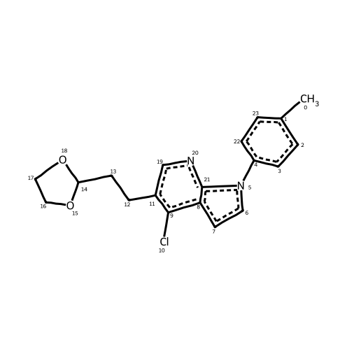 Cc1ccc(-n2ccc3c(Cl)c(CCC4OCCO4)cnc32)cc1